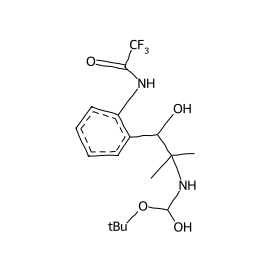 CC(C)(C)OC(O)NC(C)(C)C(O)c1ccccc1NC(=O)C(F)(F)F